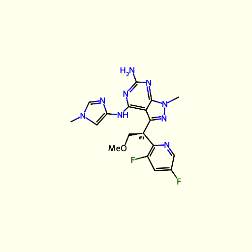 COC[C@H](c1ncc(F)cc1F)c1nn(C)c2nc(N)nc(Nc3cn(C)cn3)c12